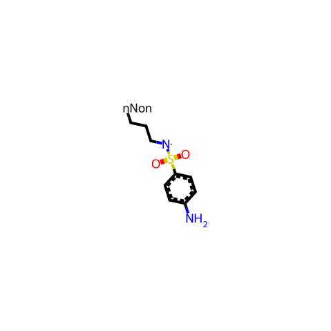 CCCCCCCCCCCC[N]S(=O)(=O)c1ccc(N)cc1